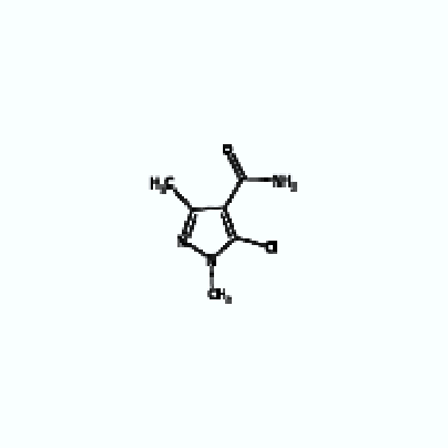 Cc1nn(C)c(Cl)c1C(N)=O